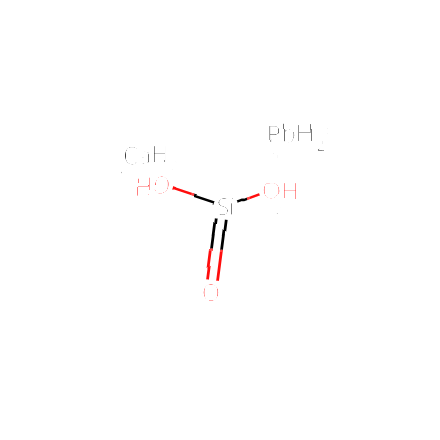 O=[Si](O)O.[CaH2].[PbH2]